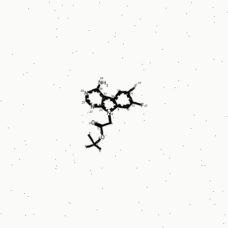 CC(C)(C)OC(=O)Cn1c2cc(F)c(F)cc2c2c(N)ncnc21